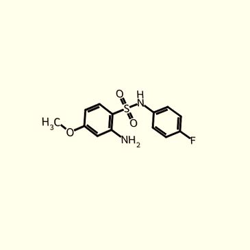 COc1ccc(S(=O)(=O)Nc2ccc(F)cc2)c(N)c1